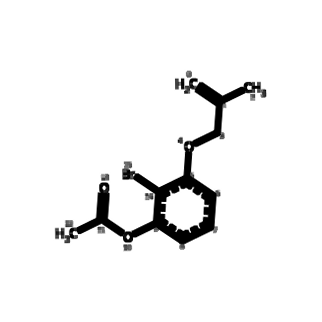 C=C(C)COc1cccc(OC(C)=O)c1Br